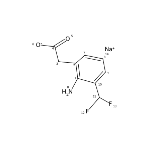 Nc1c(CC(=O)[O-])cccc1C(F)F.[Na+]